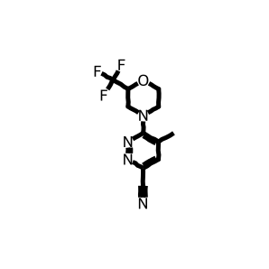 Cc1cc(C#N)nnc1N1CCOC(C(F)(F)F)C1